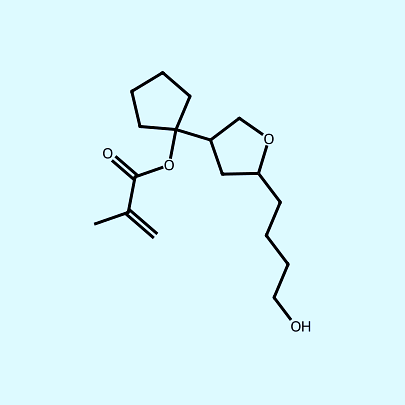 C=C(C)C(=O)OC1(C2COC(CCCCO)C2)CCCC1